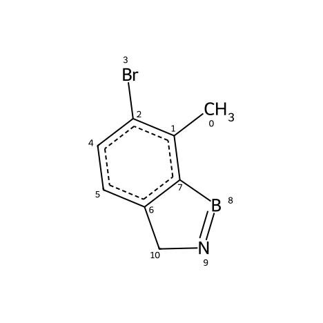 Cc1c(Br)ccc2c1B=NC2